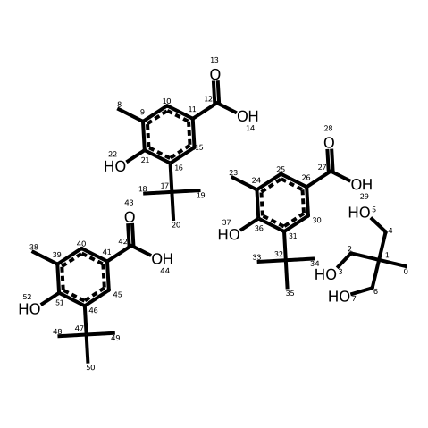 CC(CO)(CO)CO.Cc1cc(C(=O)O)cc(C(C)(C)C)c1O.Cc1cc(C(=O)O)cc(C(C)(C)C)c1O.Cc1cc(C(=O)O)cc(C(C)(C)C)c1O